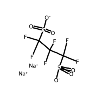 O=S(=O)([O-])C(F)(F)C(F)(F)C(F)(F)S(=O)(=O)[O-].[Na+].[Na+]